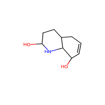 OC1CCC2CC=CC(O)C2N1